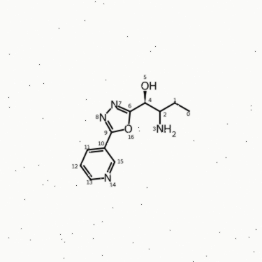 CCC(N)[C@H](O)c1nnc(-c2cccnc2)o1